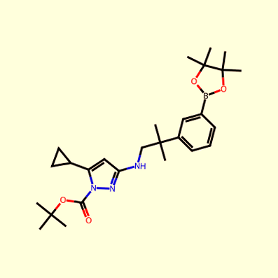 CC(C)(C)OC(=O)n1nc(NCC(C)(C)c2cccc(B3OC(C)(C)C(C)(C)O3)c2)cc1C1CC1